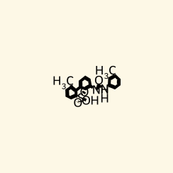 Cc1cccc(NC(=O)Nc2cccc(-c3c(C)cccc3S(=O)(=O)O)c2)c1